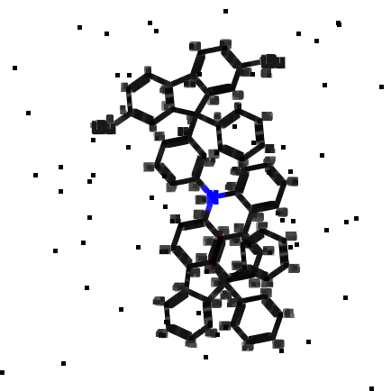 CC(C)(C)c1ccc2c(c1)C(c1ccccc1)(c1cccc(N(c3ccc4c(c3)C(c3ccccc3)(c3ccccc3)c3ccccc3-4)c3ccccc3-c3ccccc3)c1)c1cc(C(C)(C)C)ccc1-2